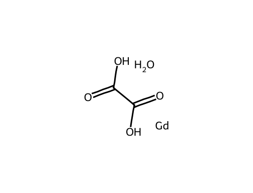 O.O=C(O)C(=O)O.[Gd]